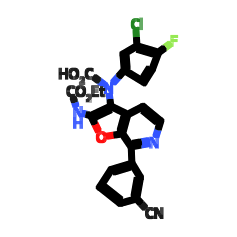 CCOC(=O)Nc1oc2c(-c3cccc(C#N)c3)nccc2c1N(C(=O)O)c1ccc(F)c(Cl)c1